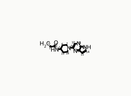 C=CC(=O)NC1CCN(c2cnc3[nH]ccc3n2)CC1